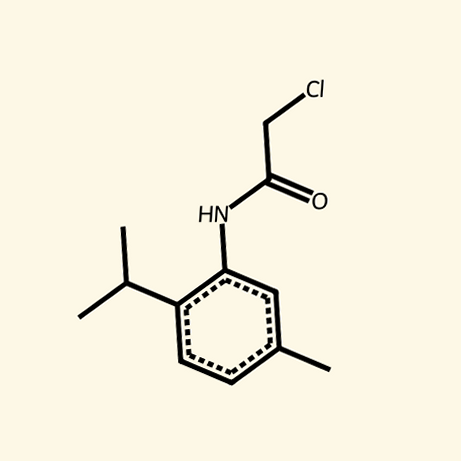 Cc1ccc(C(C)C)c(NC(=O)CCl)c1